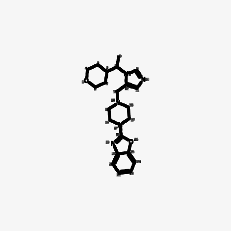 CC(C1CCOCC1)n1cncc1CN1CCN(c2nc3ccccc3o2)CC1